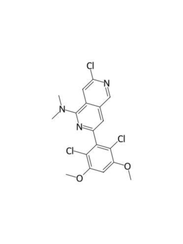 COc1cc(OC)c(Cl)c(-c2cc3cnc(Cl)cc3c(N(C)C)n2)c1Cl